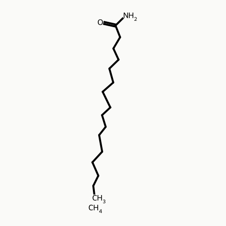 C.CCCCCCCCCCCCCCCC(N)=O